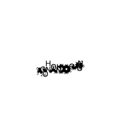 CC(C)(C)OC(=O)NC[C@@H](O)CN1CCc2cc(OCc3cnco3)ccc2C1